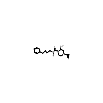 CC(C)C1CN(C2CC2)CCN1C(=O)NCCCCc1ccccc1